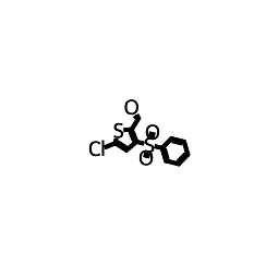 O=Cc1sc(Cl)cc1S(=O)(=O)c1ccccc1